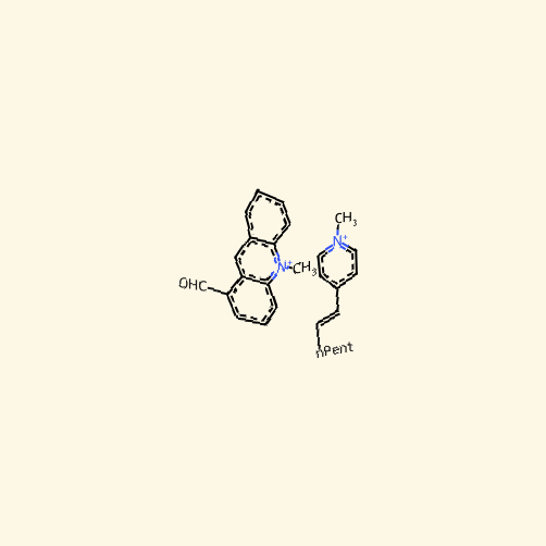 CCCCCC=Cc1cc[n+](C)cc1.C[n+]1c2ccccc2cc2c(C=O)cccc21